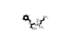 CCCC[Si](C)(C)OCC(CO)OCc1ccccc1